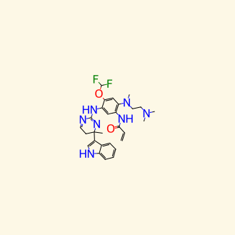 C=CC(=O)Nc1cc(NC2=NC(C)(c3c[nH]c4ccccc34)CC=N2)c(OC(F)F)cc1N(C)CCN(C)C